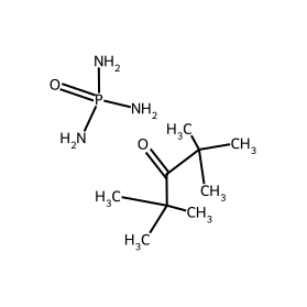 CC(C)(C)C(=O)C(C)(C)C.NP(N)(N)=O